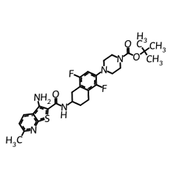 Cc1ccc2c(N)c(C(=O)NC3CCc4c(F)c(N5CCN(C(=O)OC(C)(C)C)CC5)cc(F)c4C3)sc2n1